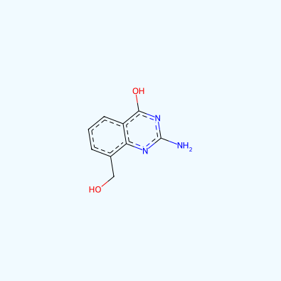 Nc1nc(O)c2cccc(CO)c2n1